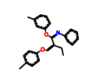 CCC(=COc1ccc(C)cc1)C(=Nc1ccccc1)Oc1cccc(C)c1